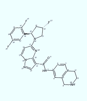 O=C(Nc1ccc2c(c1)CNCC2)c1cnn2ccc(N3C[C@@H](F)C[C@@H]3c3cc(F)ccc3F)nc12